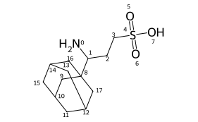 NC(CCS(=O)(=O)O)C12CC3CC(CC(C3)C1)C2